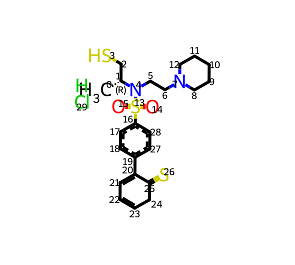 C[C@H](CS)N(CCN1CCCCC1)S(=O)(=O)c1ccc(C2=CC=CCC2=S)cc1.Cl